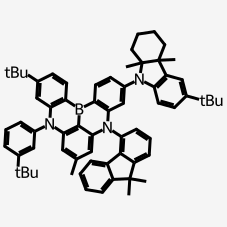 Cc1cc2c3c(c1)N(c1cccc4c1-c1ccccc1C4(C)C)c1cc(N4c5ccc(C(C)(C)C)cc5C5(C)CCCCC45C)ccc1B3c1ccc(C(C)(C)C)cc1N2c1cccc(C(C)(C)C)c1